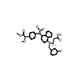 COC(=O)C(OC)c1ccc(N(c2ccc(N(Cc3cccc(F)c3)[C@@H](C)CC(=O)O)c3ccccc23)[SH](=O)=O)cc1